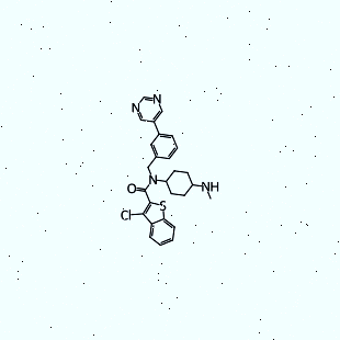 CNC1CCC(N(Cc2cccc(-c3cncnc3)c2)C(=O)c2sc3ccccc3c2Cl)CC1